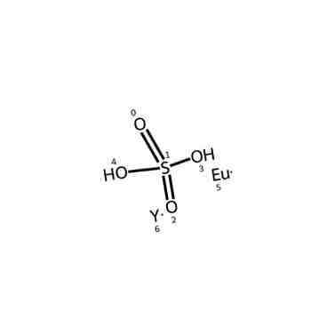 O=S(=O)(O)O.[Eu].[Y]